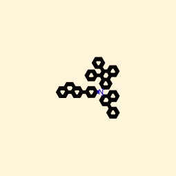 c1ccc(-c2ccc(N(c3ccc(-c4ccc5c(ccc6ccccc65)c4)cc3)c3ccc4c(c3)c(-c3ccccc3)c(-c3ccccc3)c3ccccc34)c3ccccc23)cc1